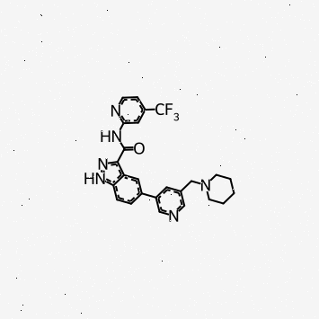 O=C(Nc1cc(C(F)(F)F)ccn1)c1n[nH]c2ccc(-c3cncc(CN4CCCCC4)c3)cc12